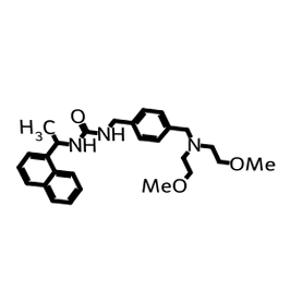 COCCN(CCOC)Cc1ccc(CNC(=O)NC(C)c2cccc3ccccc23)cc1